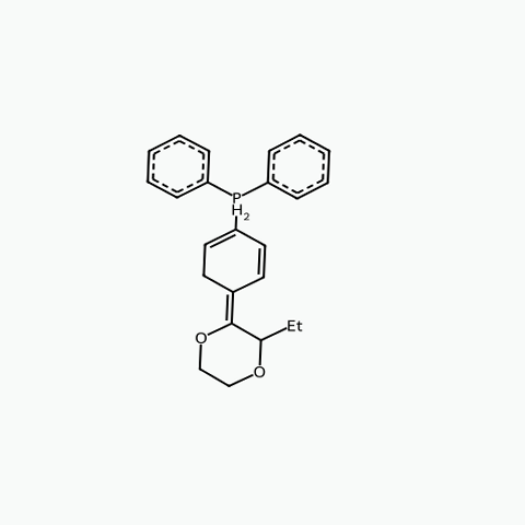 CCC1OCCOC1=C1C=CC([PH2](c2ccccc2)c2ccccc2)=CC1